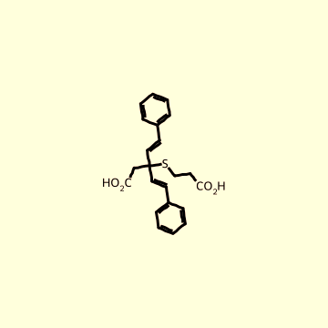 O=C(O)CCSC(C=Cc1ccccc1)(C=Cc1ccccc1)CC(=O)O